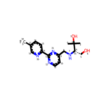 CC(C)(O)[C@H](CO)NCc1ccnc(-c2ccc(C(F)(F)F)cn2)n1